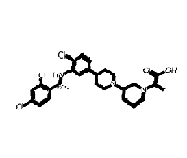 CC(C(=O)O)N1CCCC(N2CCC(c3ccc(Cl)c(N[C@H](C)c4ccc(Cl)cc4Cl)c3)CC2)C1